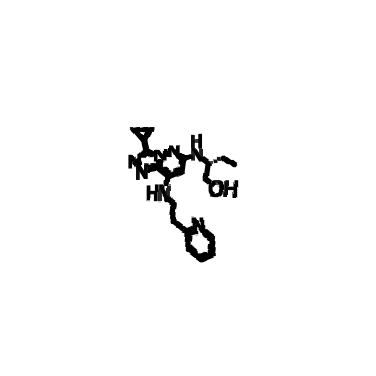 CC[C@H](CO)Nc1cc(NCCc2ccccn2)c2nnc(C3CC3)n2n1